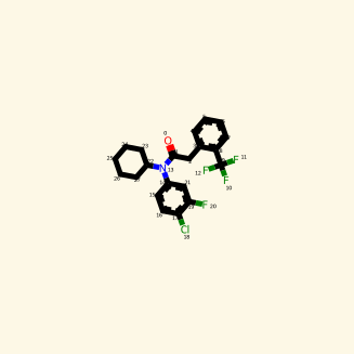 O=C(Cc1cc[c]cc1C(F)(F)F)N(c1ccc(Cl)c(F)c1)C1CCCCC1